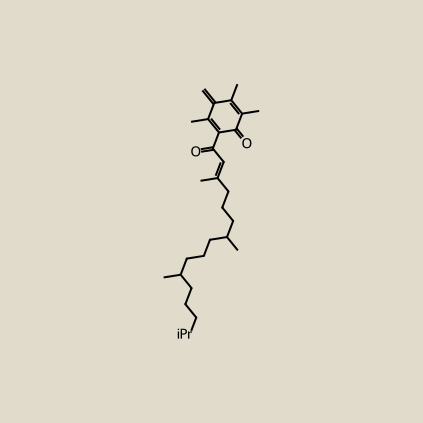 C=C1C(C)=C(C)C(=O)C(C(=O)/C=C(\C)CCCC(C)CCCC(C)CCCC(C)C)=C1C